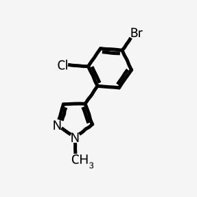 Cn1cc(-c2ccc(Br)cc2Cl)cn1